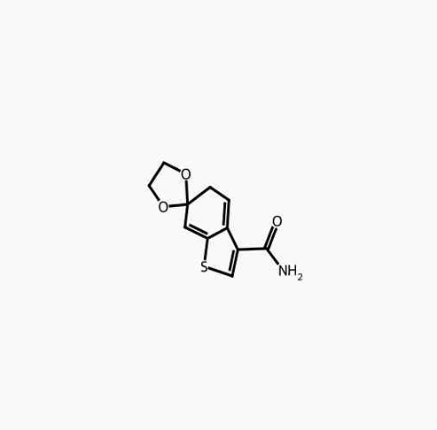 NC(=O)c1csc2c1=CCC1(C=2)OCCO1